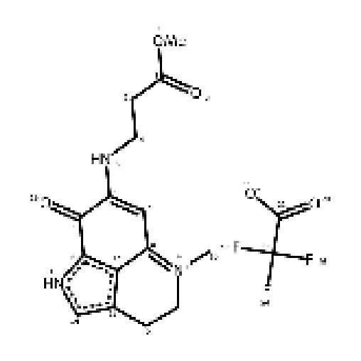 COC(=O)CCNC1=CC2=[N+](C)CCc3c[nH]c(c32)C1=O.O=C([O-])C(F)(F)F